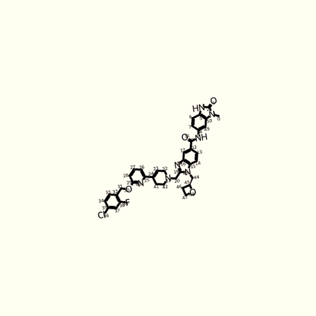 Cn1c(=O)[nH]c2ccc(NC(=O)c3ccc4c(c3)nc(CN3CC=C(c5cccc(OCc6ccc(Cl)cc6F)n5)CC3)n4C[C@@H]3CCO3)cc21